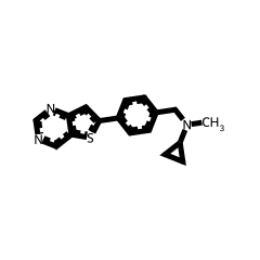 CN(Cc1ccc(-c2cc3ncn[c]c3s2)cc1)C1CC1